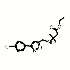 CCOC(=O)CC(C)(C)NCc1cc(-c2ccc(Cl)cc2)no1